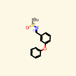 CC(C)(C)[S@+]([O-])/N=C/c1cccc(Oc2ccccc2)c1